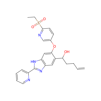 C=CCCC(O)c1cc2nc(-c3ccccn3)[nH]c2cc1Oc1ccc(S(=O)(=O)CC)nc1